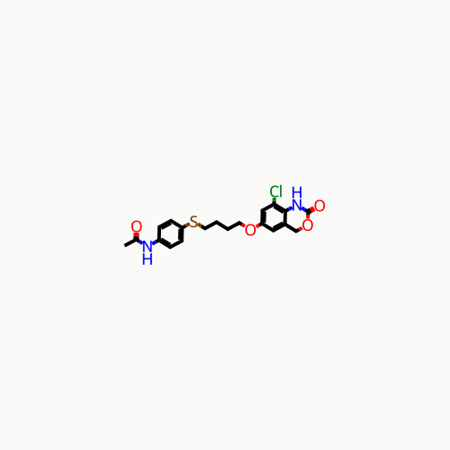 CC(=O)Nc1ccc(SCCCCOc2cc(Cl)c3c(c2)COC(=O)N3)cc1